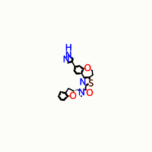 CN(C[C@H]1Cc2ccccc2O1)C(=O)c1nc2c(s1)CCOc1cc(-c3cn[nH]c3)ccc1-2